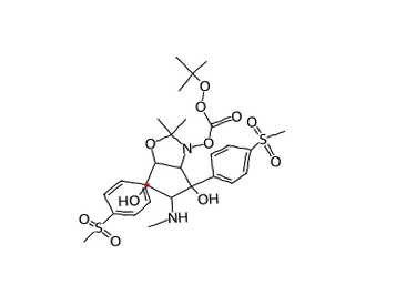 CNC(CO)C(O)(c1ccc(S(C)(=O)=O)cc1)C1C(c2ccc(S(C)(=O)=O)cc2)OC(C)(C)N1OC(=O)OOC(C)(C)C